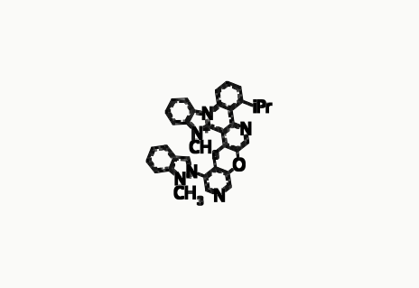 CC(C)c1cccc2c1c1ncc3c(c1c1n2c2ccccc2[n+]1C)Cc1c(cncc1-n1cc2ccccc2[n+]1C)O3